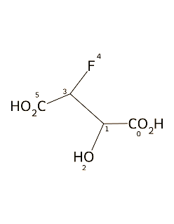 O=C(O)C(O)C(F)C(=O)O